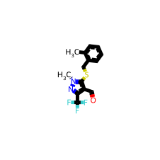 Cc1ccccc1CSc1c(C=O)c(C(F)(F)F)nn1C